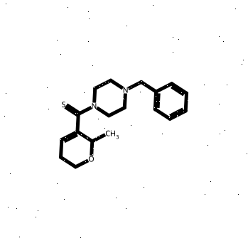 CC1OCCC=C1C(=S)N1CCN(Cc2ccccc2)CC1